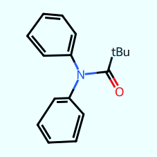 CC(C)(C)C(=O)N(c1ccccc1)c1ccccc1